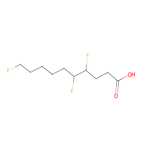 O=C(O)CCC(F)C(F)CCCCCF